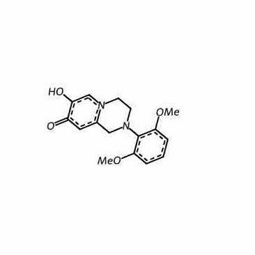 COc1cccc(OC)c1N1CCn2cc(O)c(=O)cc2C1